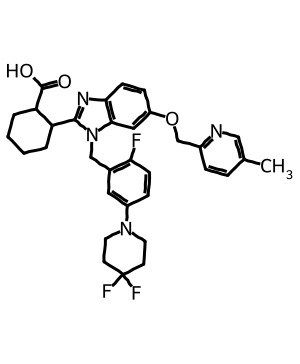 Cc1ccc(COc2ccc3nc(C4CCCCC4C(=O)O)n(Cc4cc(N5CCC(F)(F)CC5)ccc4F)c3c2)nc1